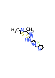 Cc1csc(C(C)c2nnc(Nc3ccn(Cc4ncccc4F)n3)s2)n1